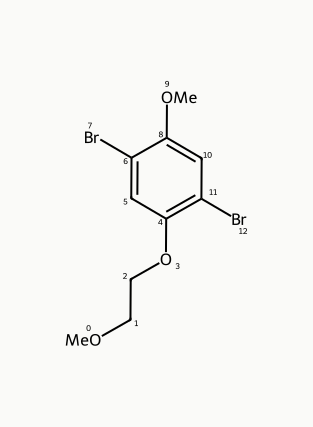 COCCOc1cc(Br)c(OC)cc1Br